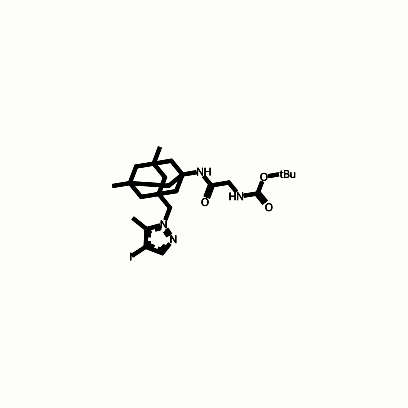 Cc1c(I)cnn1CC12CC3(C)CC(C)(C1)CC(NC(=O)CNC(=O)OC(C)(C)C)(C3)C2